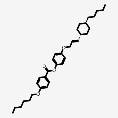 CCCCCCOc1ccc(C(=O)Oc2ccc(OCC=C[C@H]3CC[C@H](CCCCC)CC3)cc2)cc1